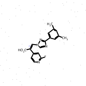 Cc1cc(C)cc(-c2ncn(/C=C(/C(=O)O)c3ccnc(F)c3)n2)c1